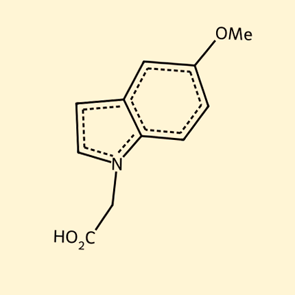 COc1ccc2c(ccn2CC(=O)O)c1